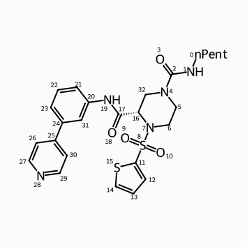 CCCCCNC(=O)N1CCN(S(=O)(=O)c2cccs2)[C@H](C(=O)Nc2cccc(-c3ccncc3)c2)C1